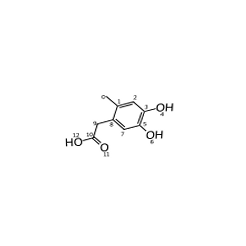 Cc1cc(O)c(O)cc1CC(=O)O